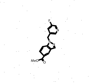 COC(=O)c1ccc2c(cnn2Cc2cncc(F)c2)c1